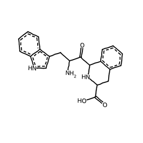 NC(Cc1c[nH]c2ccccc12)C(=O)C1NC(C(=O)O)Cc2ccccc21